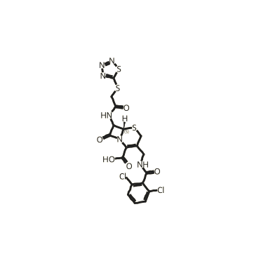 O=C(CSc1nnns1)NC1C(=O)N2C(C(=O)O)=C(CNC(=O)c3c(Cl)cccc3Cl)CS[C@@H]12